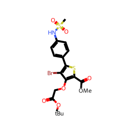 COC(=O)c1sc(-c2ccc(NS(C)(=O)=O)cc2)c(Br)c1OCC(=O)OC(C)(C)C